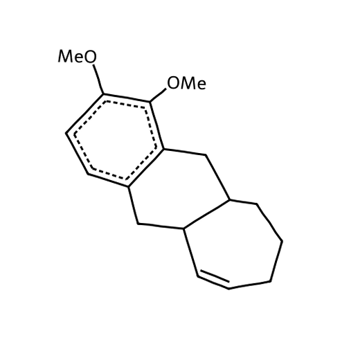 COc1ccc2c(c1OC)CC1CCCC=CC1C2